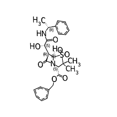 C[C@@H](NC(=O)[C@@H](O)[C@@H]1C(=O)N2[C@@H](C(=O)OCc3ccccc3)C(C)(C)S(=O)(=O)[C@H]12)c1ccccc1